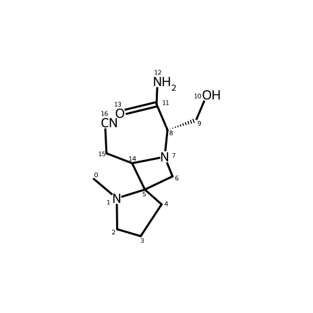 CN1CCCC12CN([C@@H](CO)C(N)=O)C2CC#N